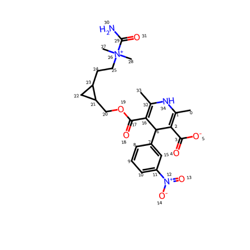 CC1=C(C(=O)[O-])C(c2cccc([N+](=O)[O-])c2)C(C(=O)OCC2CC2CC[N+](C)(C)C(N)=O)=C(C)N1